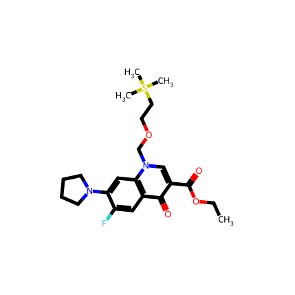 CCOC(=O)c1cn(COCCS(C)(C)C)c2cc(N3CCCC3)c(F)cc2c1=O